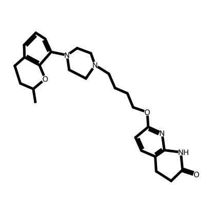 CC1CCc2cccc(N3CCN(CCCCOc4ccc5c(n4)NC(=O)CC5)CC3)c2O1